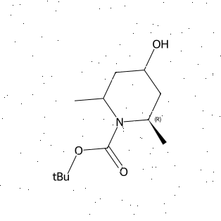 CC1CC(O)C[C@@H](C)N1C(=O)OC(C)(C)C